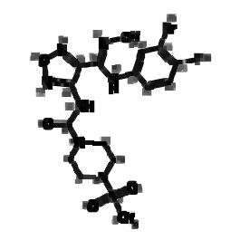 CS(=O)(=O)N1CCN(C(=O)Nc2nonc2/C(=N/O)Nc2ccc(F)c(Br)c2)CC1